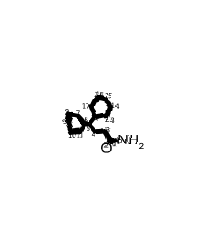 NC(=O)CCC(c1ccccc1)C1CCCCC1